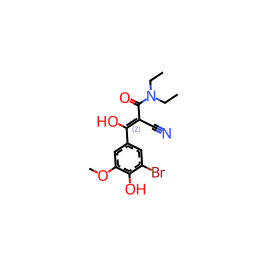 CCN(CC)C(=O)/C(C#N)=C(\O)c1cc(Br)c(O)c(OC)c1